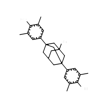 CCCC12CC3CC(c4cc(C)c(O)c(C)c4)(C1)CC(c1cc(C)c(O)c(C)c1)(C3)C2